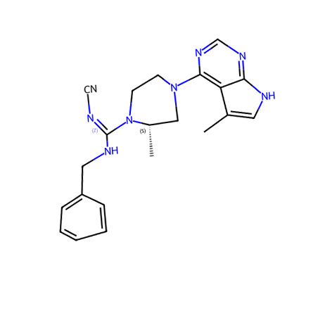 Cc1c[nH]c2ncnc(N3CCN(/C(=N\C#N)NCc4ccccc4)[C@@H](C)C3)c12